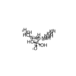 Cl.O=P(O)(O)O.[H].[KH].[KH].[KH].[NaH].[NaH].[NaH]